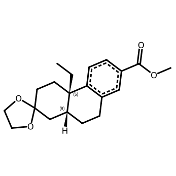 CC[C@]12CCC3(C[C@H]1CCc1cc(C(=O)OC)ccc12)OCCO3